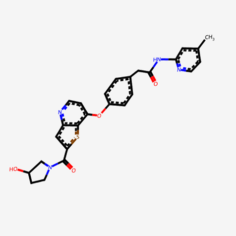 Cc1ccnc(NC(=O)Cc2ccc(Oc3ccnc4cc(C(=O)N5CCC(O)C5)sc34)cc2)c1